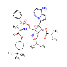 CC(C)C(=O)O[C@H]1[C@H](c2ccc3c(N)ccnn23)O[C@](C#N)(CO[P@@](=O)(N[C@@H](C)C(=O)O[C@H]2CC[C@H](C(C)(C)C)CC2)Oc2ccccc2)[C@H]1OC(=O)C(C)C